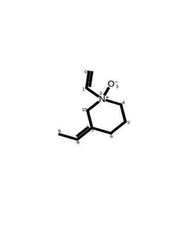 C=C[N+]1([O-])CCCC(=CC)C1